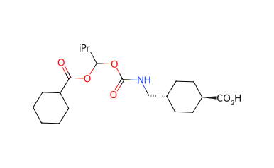 CC(C)C(OC(=O)NC[C@H]1CC[C@H](C(=O)O)CC1)OC(=O)C1CCCCC1